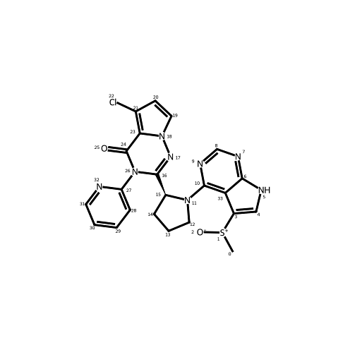 C[S+]([O-])c1c[nH]c2ncnc(N3CCC[C@H]3c3nn4ccc(Cl)c4c(=O)n3-c3ccccn3)c12